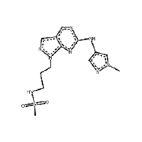 Cn1cc(Nc2ncc3cnn(CCCNS(C)(=O)=O)c3n2)cn1